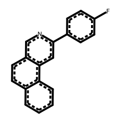 Fc1ccc(-c2cc3c(ccc4ccccc43)cn2)cc1